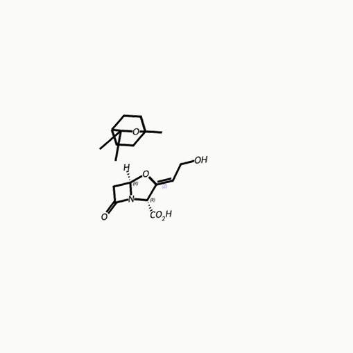 CC12CCC(CC1)C(C)(C)O2.O=C(O)[C@H]1/C(=C/CO)O[C@@H]2CC(=O)N21